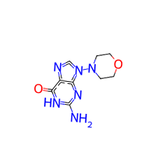 Nc1nc2c(ncn2N2CCOCC2)c(=O)[nH]1